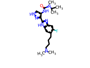 CC(C)N(C)C(=O)Nc1c[nH]nc1-c1nc2cc(F)c(CCCCN(C)C)cc2[nH]1